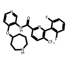 O=C(Nc1cnccc1OC1CCCNCC1)c1ccc(C(F)(F)F)c(-c2c(F)cccc2F)n1